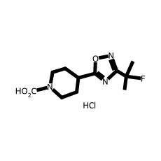 CC(C)(F)c1noc(C2CCN(C(=O)O)CC2)n1.Cl